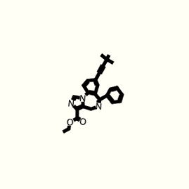 CCOC(=O)c1ncn2c1CN=C(c1ccccc1)c1cc(C#CC(C)(C)C)ccc1-2